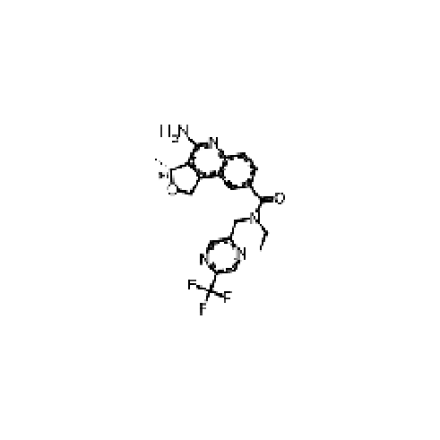 CCN(Cc1cnc(C(F)(F)F)cn1)C(=O)c1ccc2nc(N)c3c(c2c1)CO[C@@H]3C